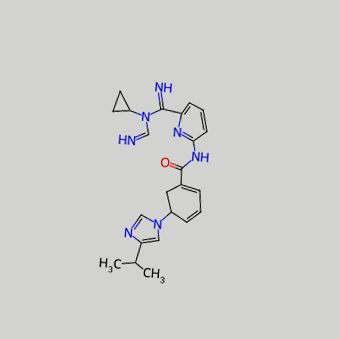 CC(C)c1cn(C2C=CC=C(C(=O)Nc3cccc(C(=N)N(C=N)C4CC4)n3)C2)cn1